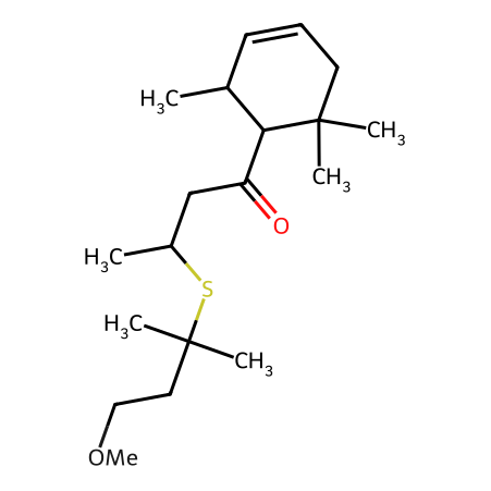 COCCC(C)(C)SC(C)CC(=O)C1C(C)C=CCC1(C)C